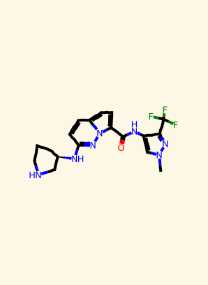 Cn1cc(NC(=O)c2ccc3ccc(N[C@@H]4CCCNC4)nn23)c(C(F)(F)F)n1